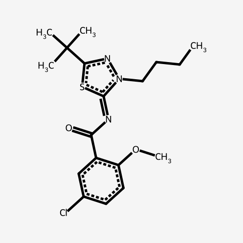 CCCCn1nc(C(C)(C)C)sc1=NC(=O)c1cc(Cl)ccc1OC